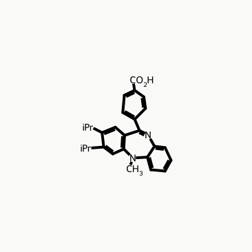 CC(C)c1cc2c(cc1C(C)C)N(C)c1ccccc1N=C2c1ccc(C(=O)O)cc1